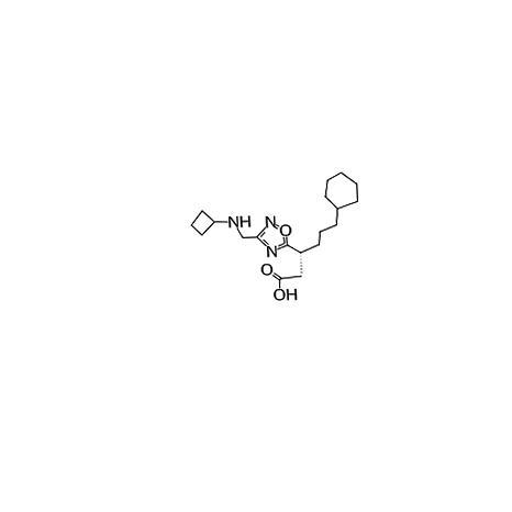 O=C(O)C[C@@H](CCCC1CCCCC1)c1nc(CNC2CCC2)no1